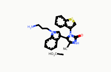 CC(=O)O.N#Cc1[nH]c(=O)n(-c2csc3ccccc23)c1-c1cn(CCCN)c2ccccc12